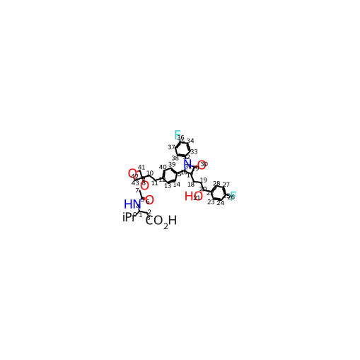 CC(C)C(CC(=O)O)NC(=O)COC1(CCc2ccc(C3C(CCC(O)c4ccc(F)cc4)C(=O)N3c3ccc(F)cc3)cc2)COC1